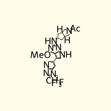 COc1nc(NC2C[C@@H]3CN(C(C)=O)C[C@@H]3C2)nc2[nH]cc(-c3cnc4nc(C)n(CC(F)F)c4c3)c12